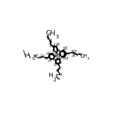 CCCCC1=C[C]([Si](c2ccc(CCCC)cc2)(c2ccc(CCCC)cc2)c2ccc(CCCC)cc2)C=C1